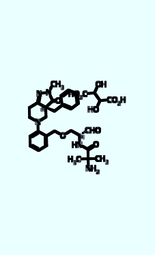 CN1N=C2CCN(c3ccccc3COC[C@H](C=O)NC(=O)C(C)(C)N)C[C@@]2(Cc2ccccc2)C1=O.O=C(O)C(O)C(O)C(=O)O